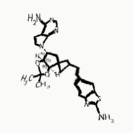 CC1(C)O[C@H]2[C@H](n3ccc4c(N)ncnc43)CC3(CC(Cc4ccc5nc(N)sc5c4)C3)[C@H]2O1